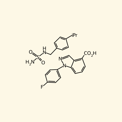 CC(C)c1ccc(CNS(N)(=O)=O)cc1.O=C(O)c1cccc2c1cnn2-c1ccc(F)cc1